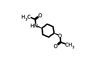 CC(=O)N[C@H]1CC[C@@H](OC(C)=O)CC1